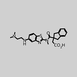 CN(C)CCNc1ccc2sc(N(C)C(=O)C3(CC(=O)O)Cc4ccccc4C3)nc2c1